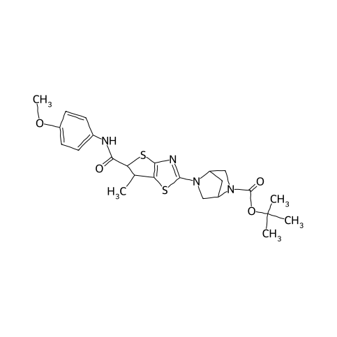 COc1ccc(NC(=O)C2Sc3nc(N4CC5CC4CN5C(=O)OC(C)(C)C)sc3C2C)cc1